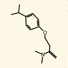 C=C(CCOc1ccc(C(C)C)cc1)N(C)C